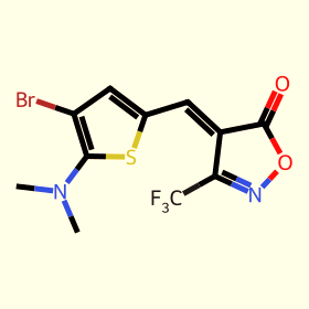 CN(C)c1sc(/C=C2/C(=O)ON=C2C(F)(F)F)cc1Br